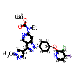 CCN(C(=O)OC(C)(C)C)c1cc2c(cn1)c(-c1cnn(C)c1)nn2[C@H]1CC[C@@H](Oc2nccc(I)c2F)CC1